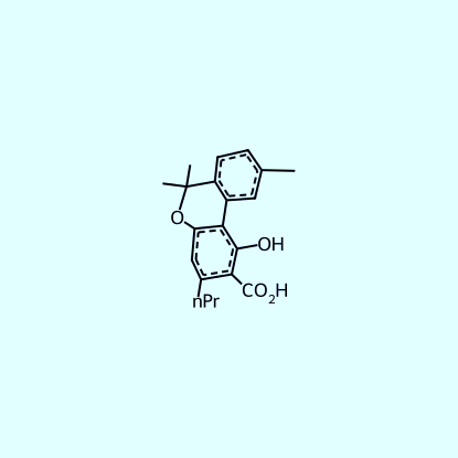 CCCc1cc2c(c(O)c1C(=O)O)-c1cc(C)ccc1C(C)(C)O2